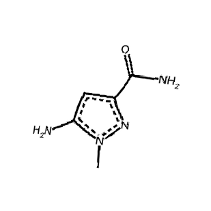 Cn1nc(C(N)=O)cc1N